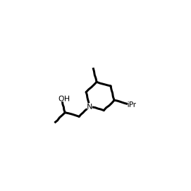 CC(O)CN1CC(C)CC(C(C)C)C1